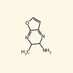 CC1N=c2occc2=NC1N